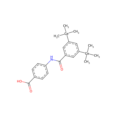 [CH3][Ge]([CH3])([CH3])[c]1cc(C(=O)Nc2ccc(C(=O)O)cc2)c[c]([Ge]([CH3])([CH3])[CH3])c1